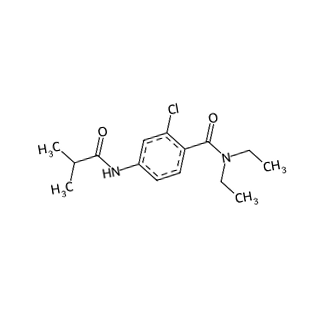 CCN(CC)C(=O)c1ccc(NC(=O)C(C)C)cc1Cl